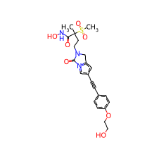 CC(CCN1Cc2cc(C#Cc3ccc(OCCO)cc3)cn2C1=O)(C(=O)NO)S(C)(=O)=O